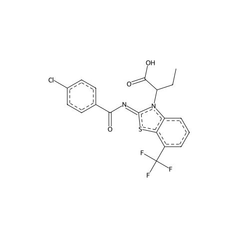 CCC(C(=O)O)n1c(=NC(=O)c2ccc(Cl)cc2)sc2c(C(F)(F)F)cccc21